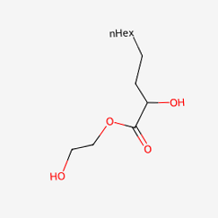 CCCCCCCCC(O)C(=O)OCCO